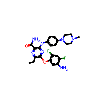 CCc1nc(C(N)=O)c(Nc2ccc(N3CCN(C)CC3)cc2)nc1Oc1cc(N)c(F)cc1F